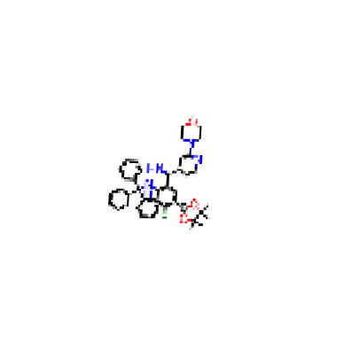 CC1(C)OB(c2cc(C(=N)c3ccnc(N4CCOCC4)c3)c(NC(c3ccccc3)(c3ccccc3)c3ccccc3)cc2F)OC1(C)C